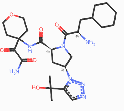 CC(C)(O)c1cnnn1[C@H]1C[C@@H](C(=O)NC2(C(=O)C(N)=O)CCOCC2)N(C(=O)[C@H](N)CC2CCCCC2)C1